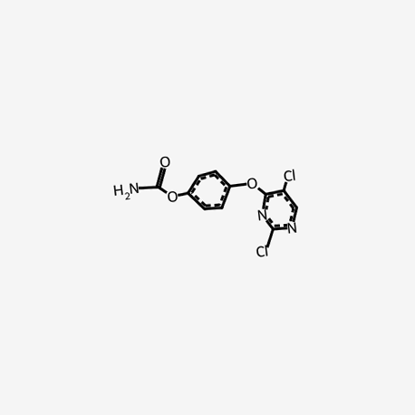 NC(=O)Oc1ccc(Oc2nc(Cl)ncc2Cl)cc1